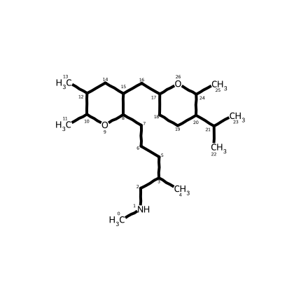 CNCC(C)CCCC1OC(C)C(C)CC1CC1CCC(C(C)C)C(C)O1